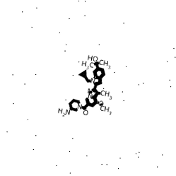 COc1cc(C(=O)N2CCCC(N)C2)cn2nc(-c3cc4ccc(C(C)(C)O)cc4n3CC3CC3)c(C)c12